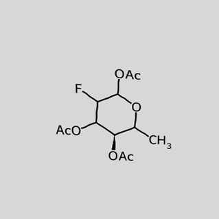 CC(=O)OC1OC(C)[C@@H](OC(C)=O)C(OC(C)=O)C1F